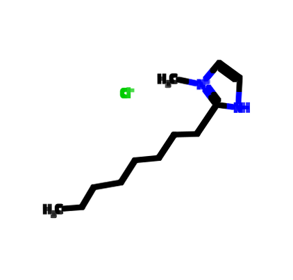 CCCCCCCCc1[nH]cc[n+]1C.[Cl-]